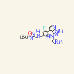 CC(C)(C)c1nc(CNCc2ccc(-c3ccnc4[nH]nc(N[C@@H]5CCNC5)c34)c(F)c2)no1